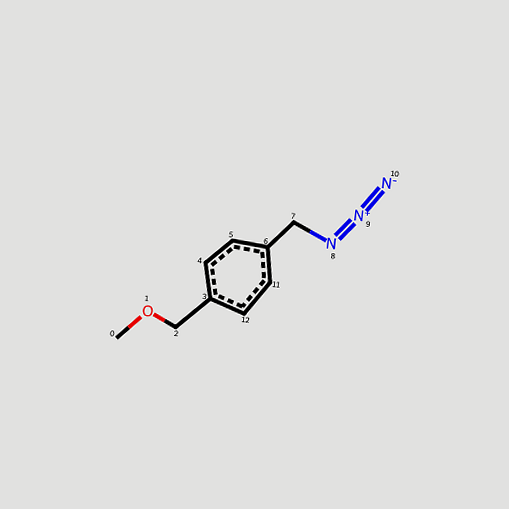 COCc1ccc(CN=[N+]=[N-])cc1